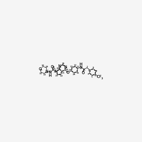 O=C(Cc1ccc(C(F)(F)F)cc1)Nc1ccc(Oc2ncnc3c2ccn3C(=O)NN2CCOCC2)cc1